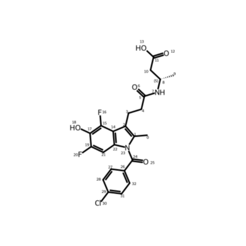 Cc1c(CCC(=O)N[C@@H](C)CC(=O)O)c2c(F)c(O)c(F)cc2n1C(=O)c1ccc(Cl)cc1